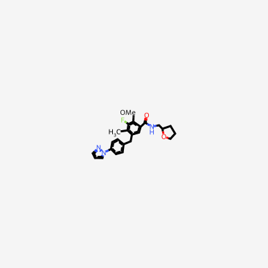 COc1c(C(=O)NCC2CCCO2)cc(Cc2ccc(-n3cccn3)cc2)c(C)c1F